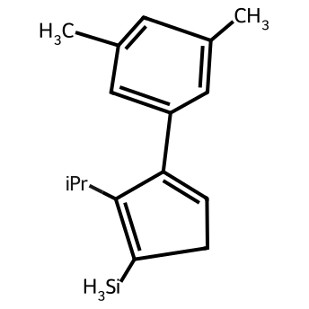 Cc1cc(C)cc(C2=CCC([SiH3])=C2C(C)C)c1